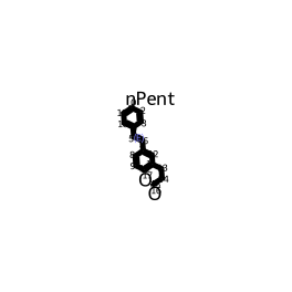 CCCCCc1ccc(/C=C/c2ccc3c(c2)CCC(=O)O3)cc1